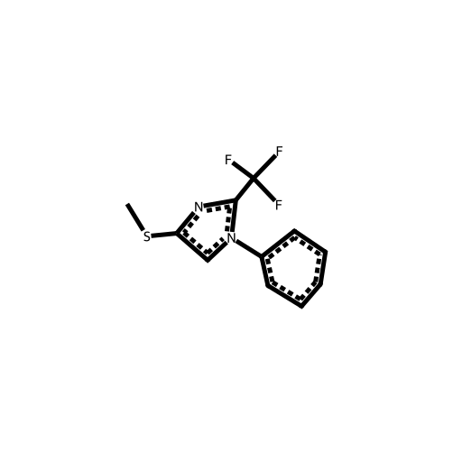 CSc1cn(-c2ccccc2)c(C(F)(F)F)n1